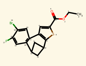 CCOC(=O)c1cc2c(s1)C1CC(C1)c1cc(F)c(Br)cc1-2